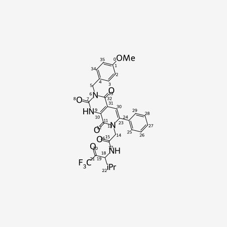 COc1ccc(Cn2c(=O)[nH]c3c(=O)n(CC(=O)NC(C(=O)C(F)(F)F)C(C)C)c(-c4ccccc4)cc3c2=O)cc1